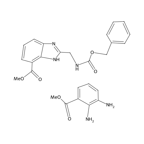 COC(=O)c1cccc(N)c1N.COC(=O)c1cccc2nc(CNC(=O)OCc3ccccc3)[nH]c12